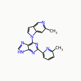 Cc1cc2c(ccn2-c2nc(-c3cccc(C)n3)nc3[nH]cnc23)cn1